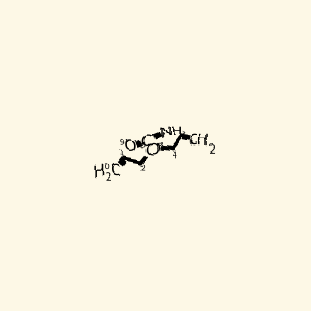 C=CCOCC=C.N=C=O